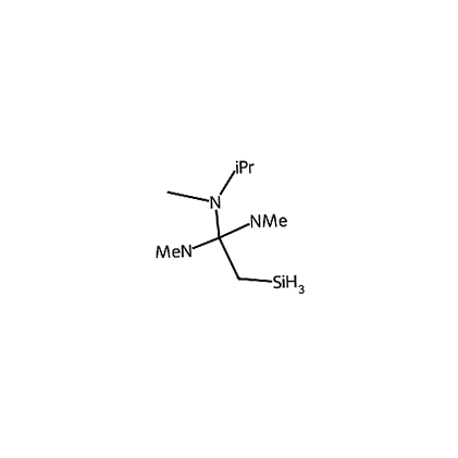 CNC(C[SiH3])(NC)N(C)C(C)C